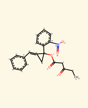 CCC(=O)CC(=O)OC1(c2ccccc2[N+](=O)[O-])CC1=Cc1ccccc1